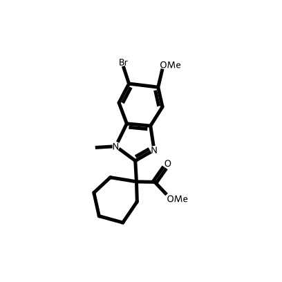 COC(=O)C1(c2nc3cc(OC)c(Br)cc3n2C)CCCCC1